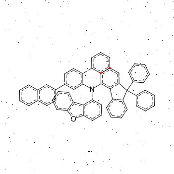 c1ccc(-c2ccc(-c3ccc4ccccc4c3)cc2N(c2cccc3c2-c2ccccc2C3(c2ccccc2)c2ccccc2)c2cccc3oc4ccccc4c23)cc1